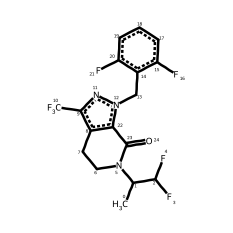 CC(C(F)F)N1CCc2c(C(F)(F)F)nn(Cc3c(F)cccc3F)c2C1=O